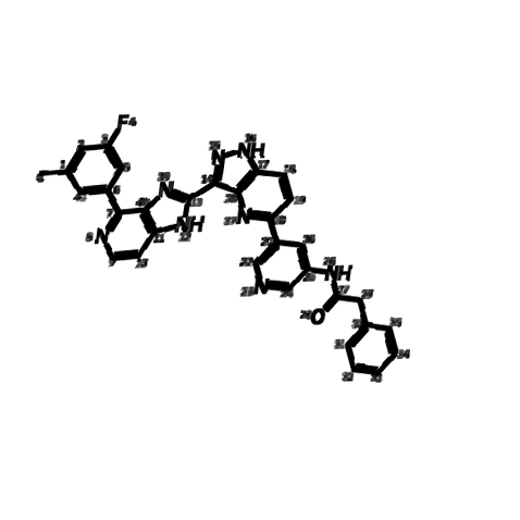 Cc1cc(F)cc(-c2nccc3[nH]c(-c4n[nH]c5ccc(-c6cncc(NC(=O)Cc7ccccc7)c6)nc45)nc23)c1